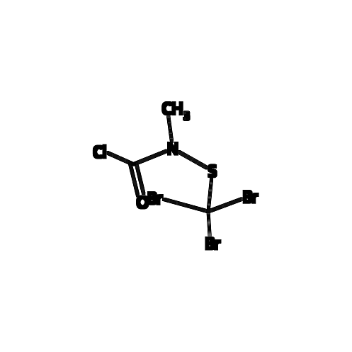 CN(SC(Br)(Br)Br)C(=O)Cl